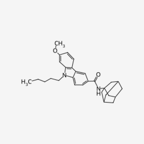 CCCCCn1c2ccc(C(=O)NC34CC5CC(CC(C5)C3)C4)cc2c2ccc(OC)cc21